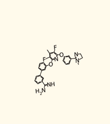 Cc1c(F)c(Oc2cccc(C3=NCCN3C)c2)nc(Oc2cccc(-c3cccc(C(=N)N)c3)c2)c1F